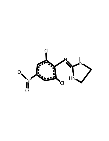 O=[N+]([O-])c1cc(Cl)c(N=C2NCCN2)c(Cl)c1